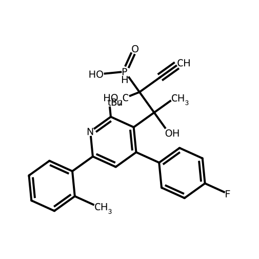 C#CC(C(=O)O)([PH](=O)O)C(C)(O)c1c(-c2ccc(F)cc2)cc(-c2ccccc2C)nc1C(C)(C)C